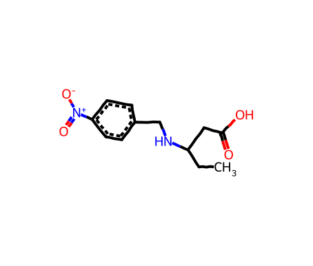 CCC(CC(=O)O)NCc1ccc([N+](=O)[O-])cc1